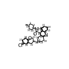 CN1CCC(NC(=O)c2c3c(nc4ccccc24)CCN(CC2COc4ccc(Cl)cc4C2)C3)CC1